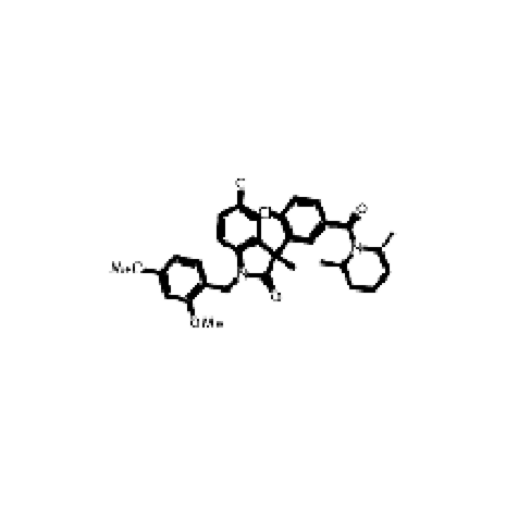 COc1ccc(CN2C(=O)C(C)(c3cc(C(=O)N4[C@H](C)CCC[C@@H]4C)ccc3Cl)c3cc(Cl)ccc32)c(OC)c1